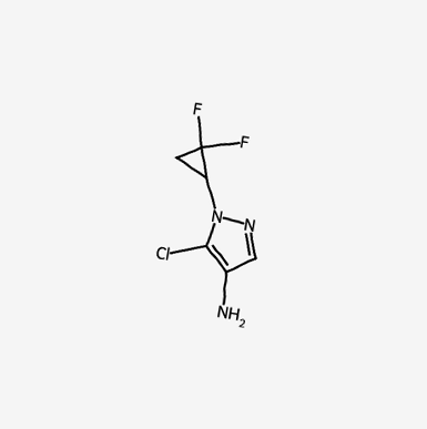 Nc1cnn(C2CC2(F)F)c1Cl